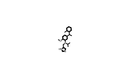 COc1ccc(C(C)c2ccccc2C)cc1N(Cc1cnc[nH]1)C(C)C